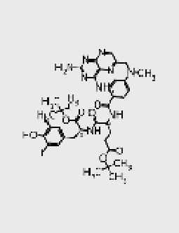 CN(Cc1cnc2nc(N)nc(N)c2n1)c1ccc(C(=O)N[C@@H](CCC(=O)OC(C)(C)C)C(=O)N[C@@H](Cc2cc(I)c(O)c(I)c2)C(=O)OC(C)(C)C)cc1